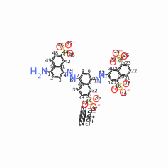 Nc1ccc(N=Nc2ccc(N=Nc3cc(S(=O)(=O)[O-])c4cccc(S(=O)(=O)[O-])c4c3)c3cc(S(=O)(=O)[O-])ccc23)c2cc(S(=O)(=O)[O-])ccc12.[Na+].[Na+].[Na+].[Na+]